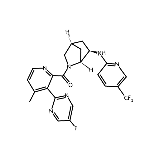 Cc1ccnc(C(=O)N2C[C@H]3C[C@@H](Nc4ccc(C(F)(F)F)cn4)[C@@H]2C3)c1-c1ncc(F)cn1